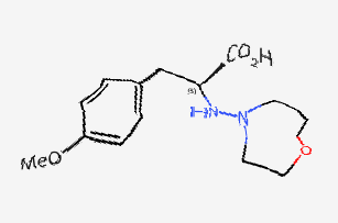 COc1ccc(C[C@H](NN2CCOCC2)C(=O)O)cc1